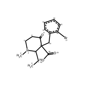 CCC1N(C)CCC(=O)C1(Cc1ccccc1Br)C(=O)O